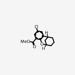 COC(=O)c1cc(Cl)cc2c1O[C@H]1CCC[C@@H]2C1